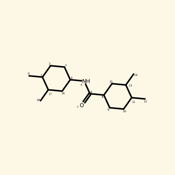 CC1CCC(NC(=O)C2CCC(C)C(C)C2)CC1C